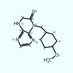 COC1CCC(CN2C(=O)CNc3nccnc32)CC1